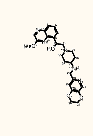 COc1cnc2cccc(C(O)CN3CCC(NCc4cc5c(cn4)OCCO5)CC3)c2n1